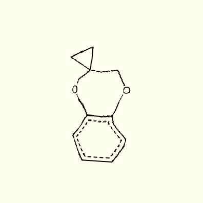 c1ccc2c(c1)OCC1(CC1)O2